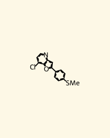 CSc1ccc(-c2cc3nccc(Cl)c3o2)cc1